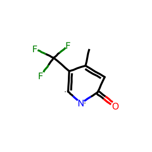 CC1=CC(=O)[N][C]=C1C(F)(F)F